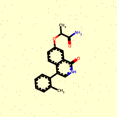 Cc1ccccc1-c1c[nH]c(=O)c2cc(OC(C)C(N)=O)ccc12